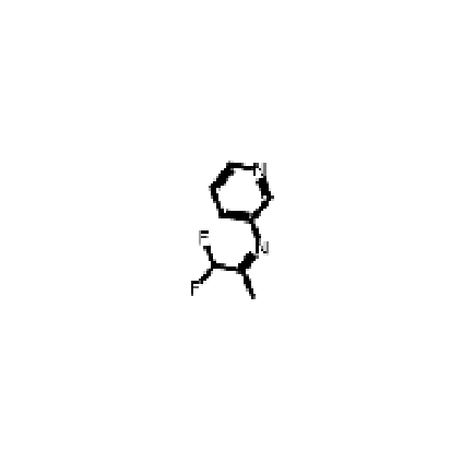 CC(=Nc1cccnc1)C(F)F